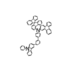 c1ccc(-n2c3ccccc3c3cc(-c4cccc(-c5ccc(N(c6ccc7c8ccccc8c8ccccc8c7c6)c6cccc7c6-c6ccccc6C76c7ccccc7-c7ccccc76)cc5)c4)ccc32)cc1